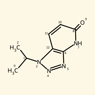 CC(C)n1nnc2[nH]c(=O)ccc21